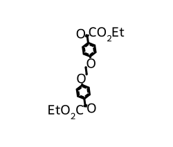 CCOC(=O)C(=O)c1ccc(OCCOc2ccc(C(=O)C(=O)OCC)cc2)cc1